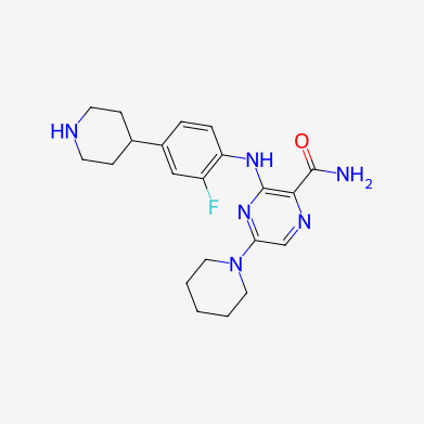 NC(=O)c1ncc(N2CCCCC2)nc1Nc1ccc(C2CCNCC2)cc1F